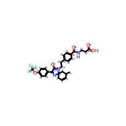 CC1C=CCC2(C1)N=C(c1ccc(OC(F)(F)F)cc1)C(=O)N2CCc1ccc(C(=O)NCCC(=O)O)cc1